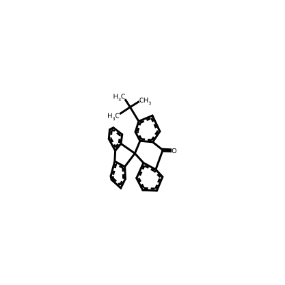 CC(C)(C)c1ccc2c(c1)C1(c3ccccc3C2=O)c2ccccc2-c2ccccc21